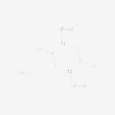 CCCCCN1CC(=O)N(CCCCC)C(CC(=O)O)C1=O